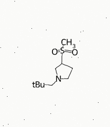 CC(C)(C)CN1CCC(S(C)(=O)=O)C1